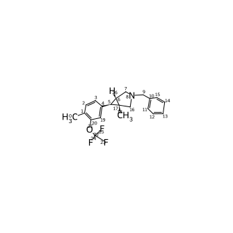 Cc1ccc([C@H]2[C@@H]3CN(Cc4ccccc4)C[C@@]32C)cc1OC(F)(F)F